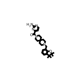 CC1(C)Oc2c(CN3CCC4(CC3)CCN(C(=O)c3ccnc(N)n3)CC4)cccc2C1(C)C